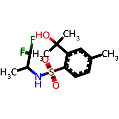 Cc1ccc(S(=O)(=O)NC(C)C(F)(F)F)c(C(C)(C)O)c1